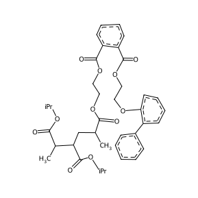 CC(C)OC(=O)C(C)C(CC(C)C(=O)OCCOC(=O)c1ccccc1C(=O)OCCOc1ccccc1-c1ccccc1)C(=O)OC(C)C